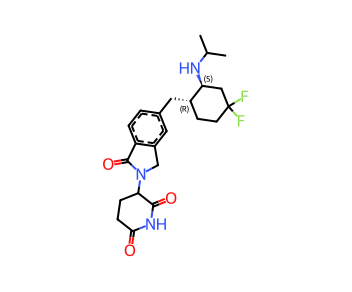 CC(C)N[C@H]1CC(F)(F)CC[C@@H]1Cc1ccc2c(c1)CN(C1CCC(=O)NC1=O)C2=O